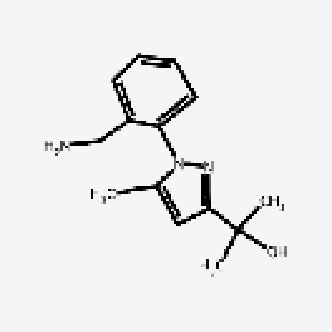 Cc1cc(C(C)(C)O)nn1-c1ccccc1CN